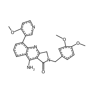 COc1ccc(CN2Cc3nc4c(-c5cnccc5OC)cccc4c(N)c3C2=O)cc1OC